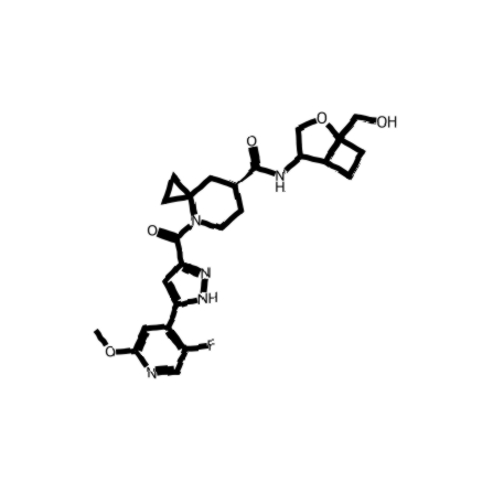 COc1cc(-c2cc(C(=O)N3CC[C@H](C(=O)NC4COC5(CO)CCC45)CC34CC4)n[nH]2)c(F)cn1